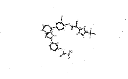 CC(Cl)C(=O)Nc1cccc(-c2nc3c(-c4ccc(CNC(=O)c5nc(C(C)(C)C)no5)c(F)c4)ccnc3[nH]2)c1